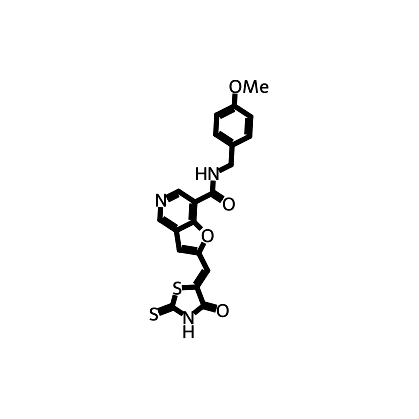 COc1ccc(CNC(=O)c2cncc3cc(/C=C4\SC(=S)NC4=O)oc23)cc1